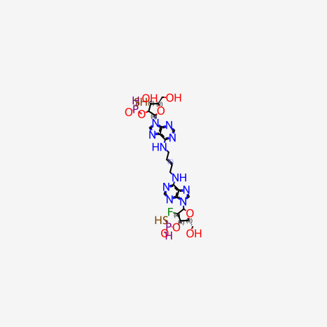 O=[PH](S)OC1[C@H](n2cnc3c(NC/C=C/CNc4ncnc5c4ncn5C4O[C@H](CO)[C@@H](O[PH](=O)S)[C@H]4F)ncnc32)O[C@H](CO)[C@H]1O